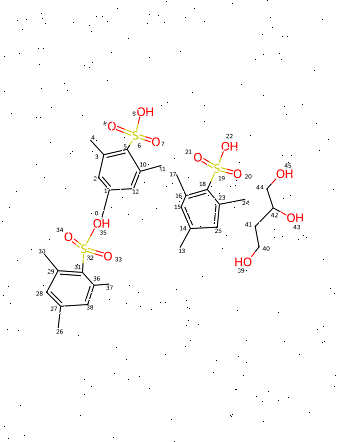 Cc1cc(C)c(S(=O)(=O)O)c(C)c1.Cc1cc(C)c(S(=O)(=O)O)c(C)c1.Cc1cc(C)c(S(=O)(=O)O)c(C)c1.OCCC(O)CO